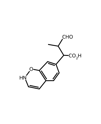 CC(C=O)C(C(=O)O)c1ccc2c(c1)ONC=C2